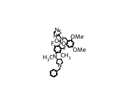 COc1ccc(CN(c2ncns2)S(=O)(=O)c2c(F)cc(N(C)[C@H]3CCN(Cc4ccccc4)C3)c(C)c2F)c(OC)c1